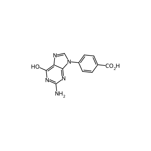 Nc1nc(O)c2ncn(-c3ccc(C(=O)O)cc3)c2n1